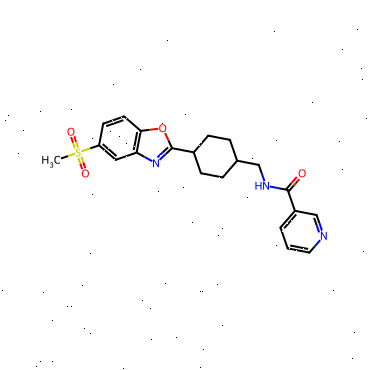 CS(=O)(=O)c1ccc2oc(C3CCC(CNC(=O)c4cccnc4)CC3)nc2c1